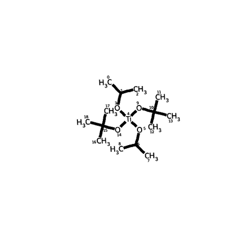 CC(C)[O][Ti]([O]C(C)C)([O]C(C)(C)C)[O]C(C)(C)C